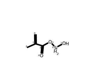 C=C(C)C(=O)O[SiH2]O